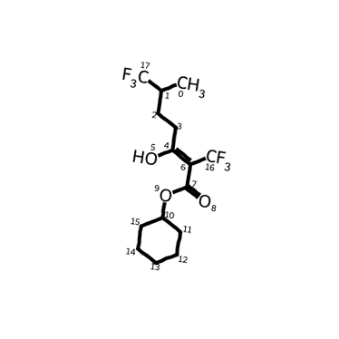 CC(CCC(O)=C(C(=O)OC1CCCCC1)C(F)(F)F)C(F)(F)F